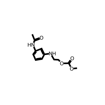 COC(=O)OCCNc1cccc(NC(C)=O)c1